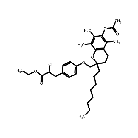 CCCCCCCCC1(COc2ccc(CC(Cl)C(=O)OCC)cc2)CCc2c(C)c(OC(C)=O)c(C)c(C)c2O1